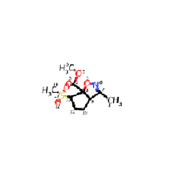 COC(=O)C12ON=C(C)C1CCC2S(C)(=O)=O